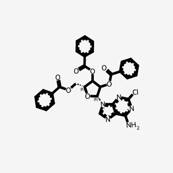 Nc1nc(Cl)nc2c1ncn2[C@@H]1O[C@H](COC(=O)c2ccccc2)C(OC(=O)c2ccccc2)C1OC(=O)c1ccccc1